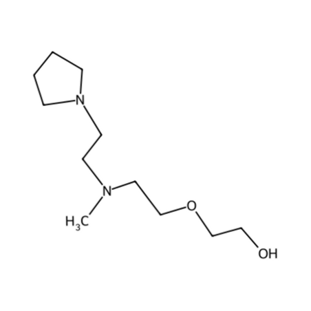 CN(CCOCCO)CCN1CCCC1